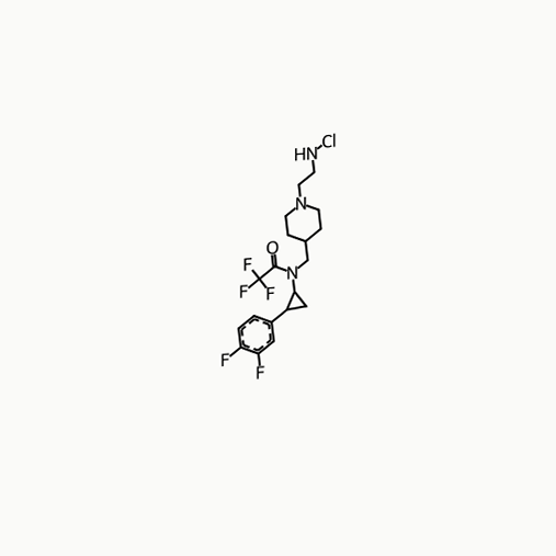 O=C(N(CC1CCN(CCNCl)CC1)C1CC1c1ccc(F)c(F)c1)C(F)(F)F